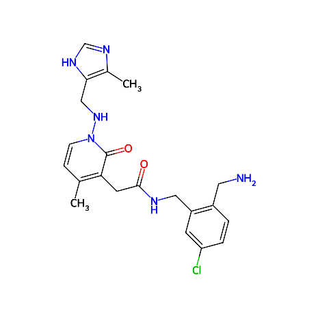 Cc1ccn(NCc2[nH]cnc2C)c(=O)c1CC(=O)NCc1cc(Cl)ccc1CN